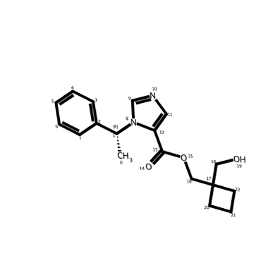 C[C@H](c1ccccc1)n1cncc1C(=O)OCC1(CO)CCC1